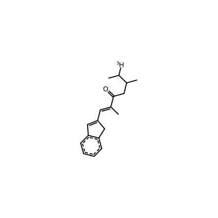 [3H]C(C)C(C)CC(=O)/C(C)=C/C1=Cc2ccccc2C1